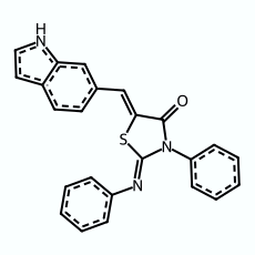 O=C1/C(=C/c2ccc3cc[nH]c3c2)S/C(=N\c2ccccc2)N1c1ccccc1